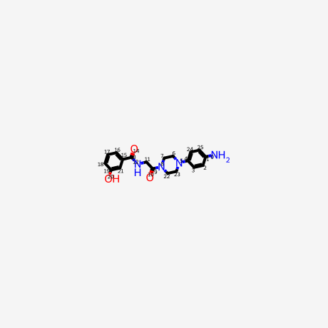 Nc1ccc(N2CCN(C(=O)CNC(=O)c3cccc(O)c3)CC2)cc1